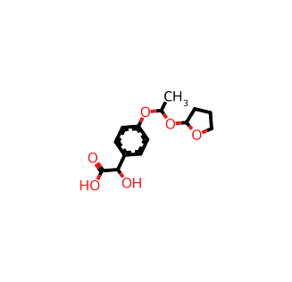 CC(Oc1ccc(C(O)C(=O)O)cc1)OC1CCCO1